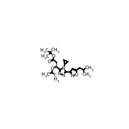 CC(C)Cc1cc(-c2nnc([C@H](CC(=O)OC(C)(C)C)OC(C)C)n2C2CC2)no1